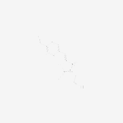 C=CCN1C(=O)C(=Cc2ccc(CC)cc2)SC1=S